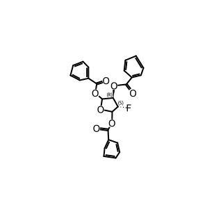 O=C(OC1OC(OC(=O)c2ccccc2)[C@@H](OC(=O)c2ccccc2)[C@@H]1F)c1ccccc1